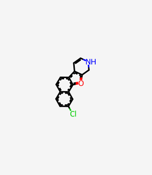 Clc1ccc2ccc3c4c(oc3c2c1)CNC=C4